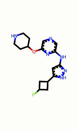 FC1CC(c2cc(Nc3cncc(OC4CCNCC4)n3)n[nH]2)C1